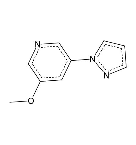 COc1cncc(-n2cccn2)c1